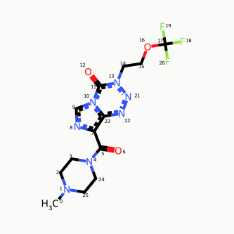 CN1CCN(C(=O)c2ncn3c(=O)n(CCOC(F)(F)F)nnc23)CC1